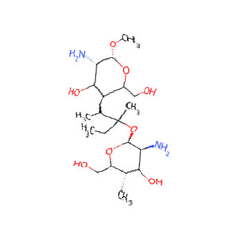 CCC(C)(O[C@@H]1OC(CO)[C@@H](C)C(O)[C@@H]1N)C(C)[C@@H]1C(CO)O[C@@H](OC)[C@@H](N)C1O